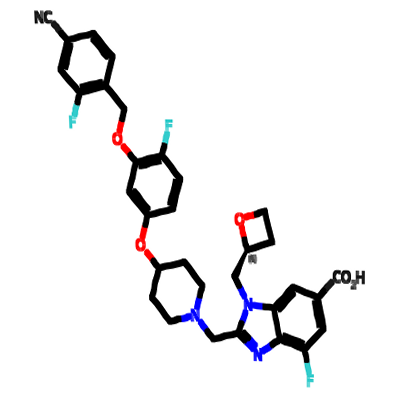 N#Cc1ccc(COc2cc(OC3CCN(Cc4nc5c(F)cc(C(=O)O)cc5n4C[C@@H]4CCO4)CC3)ccc2F)c(F)c1